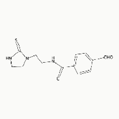 O=Cc1ccc(C(=O)NCCN2CCNC2=S)cc1